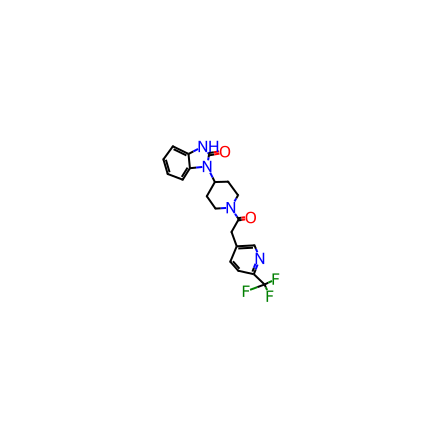 O=C(Cc1ccc(C(F)(F)F)nc1)N1CCC(n2c(=O)[nH]c3ccccc32)CC1